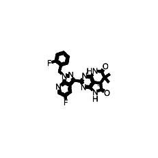 CC1(C)C(=O)Nc2nc(-c3nn(Cc4ccccc4F)c4ncc(F)cc34)nc3c2[C@]1(C)C(=O)N3